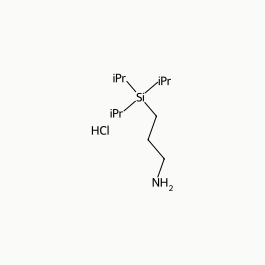 CC(C)[Si](CCCN)(C(C)C)C(C)C.Cl